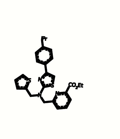 CCOC(=O)c1cccc(CN(Cc2cccs2)c2nc(-c3ccc(C(C)C)cc3)cs2)n1